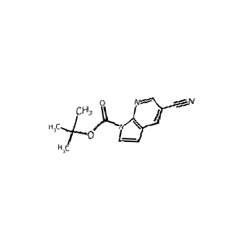 CC(C)(C)OC(=O)n1ccc2cc(C#N)cnc21